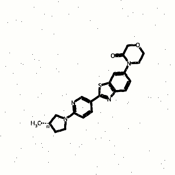 C[C@H]1CCN(c2ccc(-c3nc4ccc(N5CCOCC5=O)cc4s3)cn2)C1